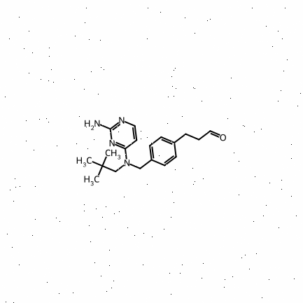 CC(C)(C)CN(Cc1ccc(CCC=O)cc1)c1ccnc(N)n1